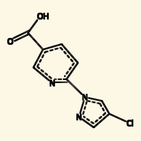 O=C(O)c1ccc(-n2cc(Cl)cn2)nc1